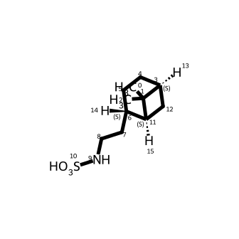 CC1(C)[C@H]2CC[C@@H](CCNS(=O)(=O)O)[C@@H]1C2